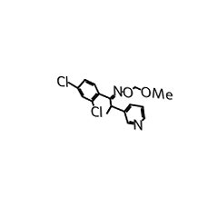 COCON=C(c1ccc(Cl)cc1Cl)C(C)c1cccnc1